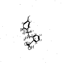 Cc1ccc(C(F)(F)N(F)c2ccccc2C(=O)O)c(F)c1